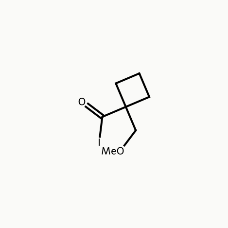 COCC1(C(=O)I)CCC1